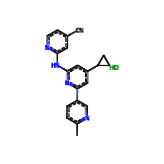 Cc1ccc(-c2cc(C3CC3)cc(Nc3cc(C#N)ccn3)n2)cn1.Cl